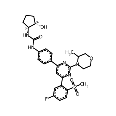 CC1COCCN1c1nc(-c2ccc(NC(=O)N[C@H]3CCC[C@@H]3O)cc2)cc(-c2cc(F)ccc2S(C)(=O)=O)n1